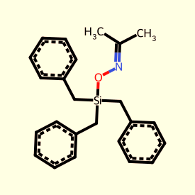 CC(C)=NO[Si](Cc1ccccc1)(Cc1ccccc1)Cc1ccccc1